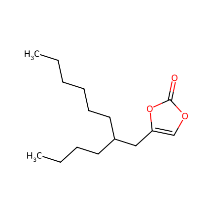 CCCCCCC(CCCC)Cc1coc(=O)o1